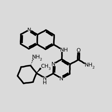 C[C@@]1(Nc2ncc(C(N)=O)c(Nc3ccc4ncccc4c3)n2)CCCC[C@@H]1N